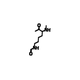 CNC(CCCCNC=O)C(C)=O